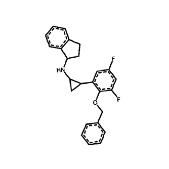 Fc1cc(F)c(OCc2ccccc2)c(C2CC2NC2CCc3ccccc32)c1